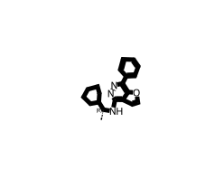 C[C@@H](Nc1nnc(-c2ccccc2)c2occc12)C1CCCCC1